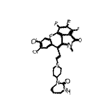 CN1C(=O)c2c(F)c(F)c(F)c(F)c2C1C(CCN1CCC(N2CCCNC2=O)CC1)c1ccc(Cl)c(Cl)c1